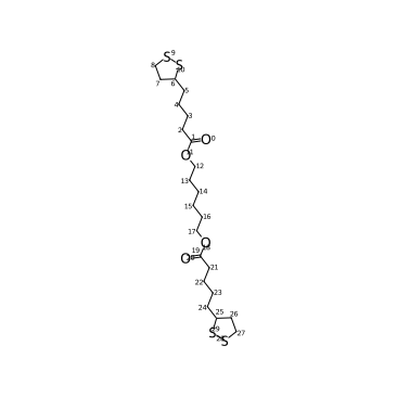 O=C(CCCCC1CCSS1)OCCCCCCOC(=O)CCCCC1CCSS1